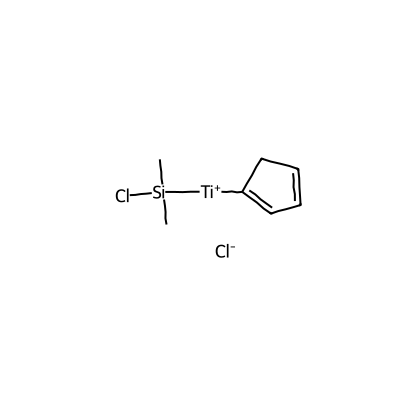 C[Si](C)(Cl)[Ti+][C]1=CC=CC1.[Cl-]